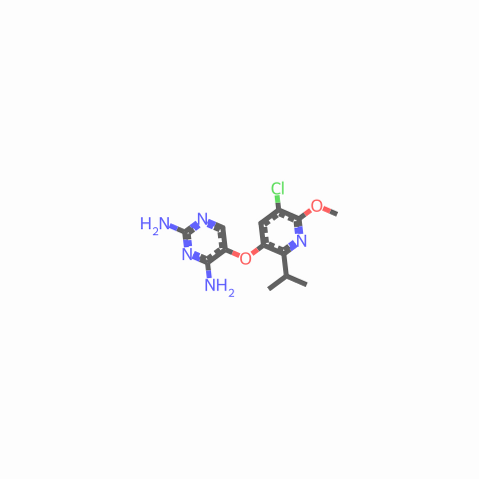 COc1nc(C(C)C)c(Oc2cnc(N)nc2N)cc1Cl